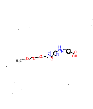 CCCOCCOCCOCCCNC(=O)c1ccc(N/N=C/c2ccc(C(=O)O)cc2)nc1